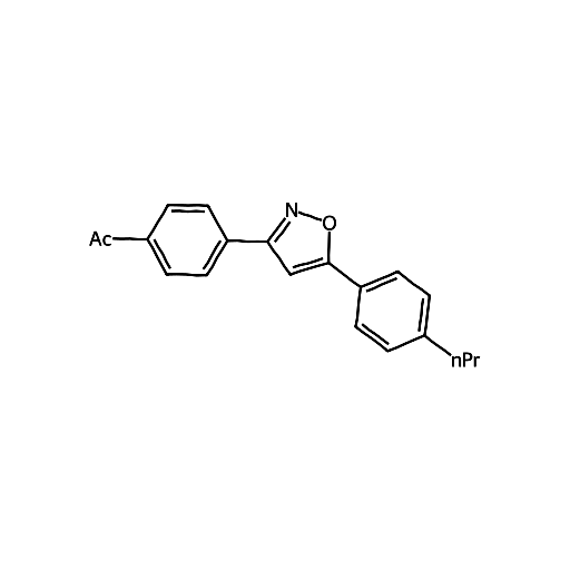 CCCc1ccc(-c2cc(-c3ccc(C(C)=O)cc3)no2)cc1